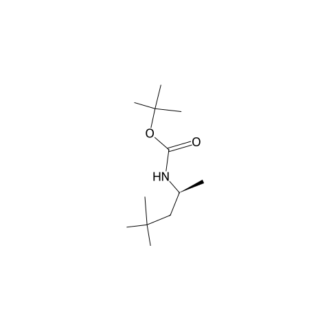 C[C@@H](CC(C)(C)C)NC(=O)OC(C)(C)C